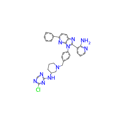 Nc1ncccc1-c1nc2ccc(-c3ccccc3)nc2n1-c1ccc(CN2CCC[C@H](Nc3ncnc(Cl)n3)C2)cc1